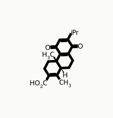 CC1=C(C(=O)O)CC[C@]2(C)C3=C(CC[C@@H]12)C(=O)C(C(C)C)=CC3=O